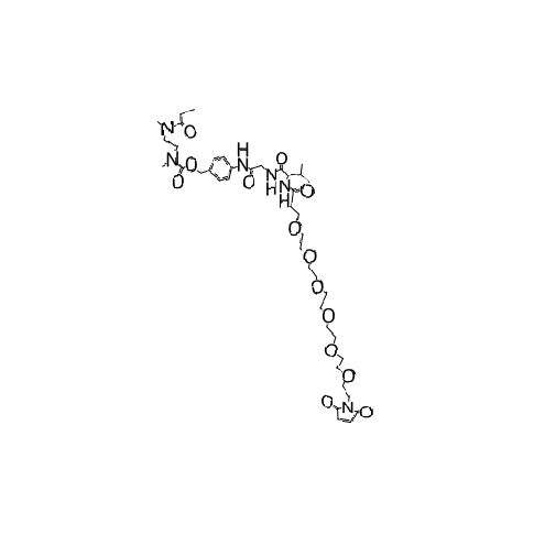 CCC(=O)N(C)CCN(C)C(=O)OCc1ccc(NC(=O)CNC(=O)C(NC(=O)CCOCCOCCOCCOCCOCCOCCN2C(=O)C=CC2=O)C(C)C)cc1